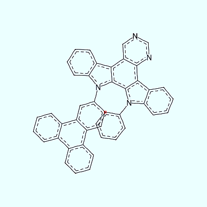 c1ccc(-n2c3ccccc3c3c4ncncc4c4c5ccccc5n(-c5ccc6c7ccccc7c7ccccc7c6c5)c4c32)cc1